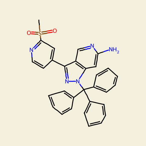 CS(=O)(=O)c1cc(-c2nn(C(c3ccccc3)(c3ccccc3)c3ccccc3)c3cc(N)ncc23)ccn1